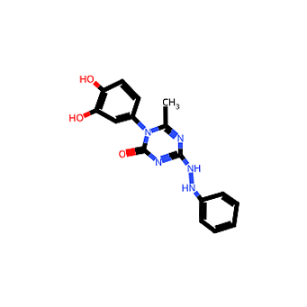 Cc1nc(NNc2ccccc2)nc(=O)n1-c1ccc(O)c(O)c1